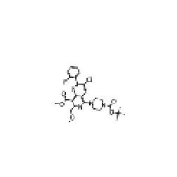 COCc1nc(N2CCN(C(=O)OC(C)(C)C)CC2)c2cc(Cl)c(-c3ccccc3F)nc2c1C(=O)OC